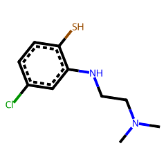 CN(C)CCNc1cc(Cl)ccc1S